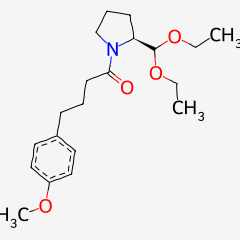 CCOC(OCC)[C@@H]1CCCN1C(=O)CCCc1ccc(OC)cc1